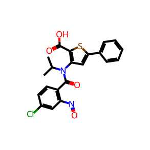 CC(C)N(C(=O)c1ccc(Cl)cc1N=O)c1cc(-c2ccccc2)sc1C(=O)O